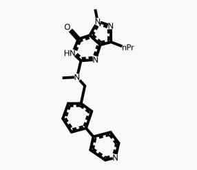 CCCc1nn(C)c2c(=O)[nH]c(N(C)Cc3cccc(-c4ccncc4)c3)nc12